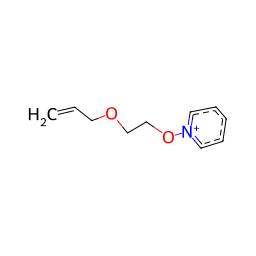 C=CCOCCO[n+]1ccccc1